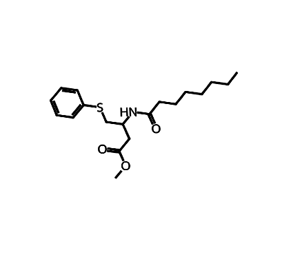 CCCCCCCC(=O)NC(CSc1ccccc1)CC(=O)OC